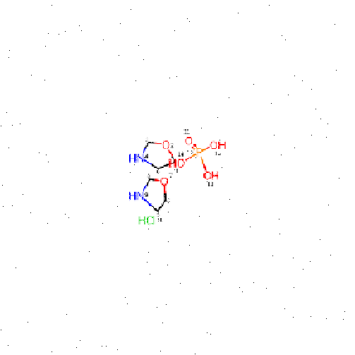 C1COCN1.C1COCN1.Cl.O=P(O)(O)O